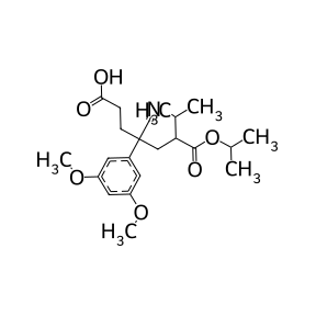 COc1cc(OC)cc(C(C#N)(CCC(=O)O)CC(C(=O)OC(C)C)C(C)C)c1